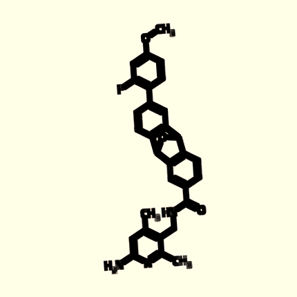 COc1ccc(-c2ccc3c(c2)C2OC3c3cc(C(=O)NCc4c(C)cc(N)nc4C)ccc32)c(F)c1